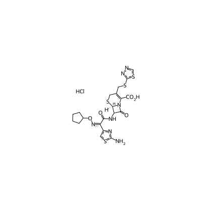 Cl.Nc1nc(/C(=N/OC2CCCC2)C(=O)NC2C(=O)N3C(C(=O)O)=C(CSc4nncs4)CS[C@H]23)cs1